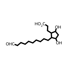 O=CCCCCCCCCCC1C(O)CC(O)C1CCC(=O)O